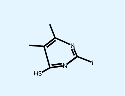 Cc1nc(I)nc(S)c1C